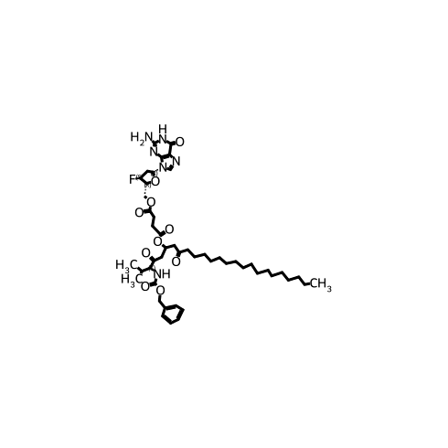 CCCCCCCCCCCCCCCCCC(=O)CC(CC(=O)[C@@H](NC(=O)OCc1ccccc1)C(C)C)OC(=O)CCC(=O)OC[C@H]1O[C@@H](n2cnc3c(=O)[nH]c(N)nc32)C[C@@H]1F